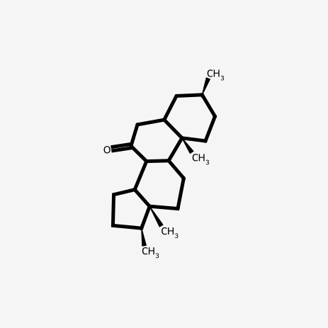 C[C@H]1CC[C@@]2(C)C(CC(=O)C3C2CC[C@@]2(C)C3CC[C@@H]2C)C1